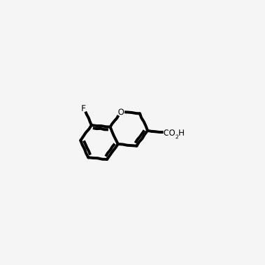 O=C(O)C1=Cc2cccc(F)c2OC1